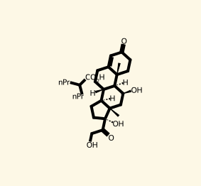 CCCC(CCC)C(=O)O.C[C@]12CCC(=O)C=C1CC[C@@H]1[C@@H]2[C@@H](O)C[C@@]2(C)[C@H]1CC[C@]2(O)C(=O)CO